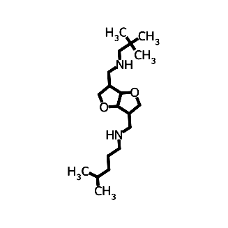 CC(C)CCCNCC1COC2C(CNCC(C)(C)C)COC12